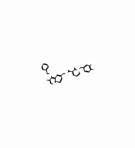 CN(Cc1ccccc1)c1c(N)cnc2ccc(CNC(=O)c3cccn(Cc4ccc(F)c(F)c4)c3=O)cc12